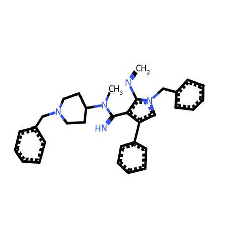 C=Nc1c(C(=N)N(C)C2CCN(Cc3ccccc3)CC2)c(-c2ccccc2)cn1Cc1ccccc1